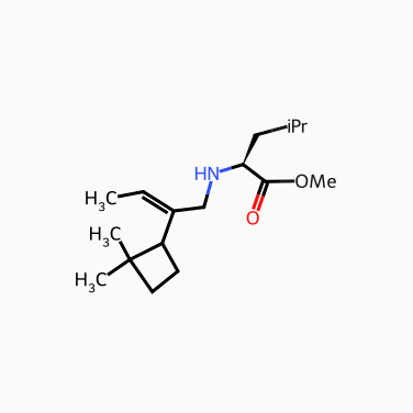 C/C=C(/CN[C@@H](CC(C)C)C(=O)OC)C1CCC1(C)C